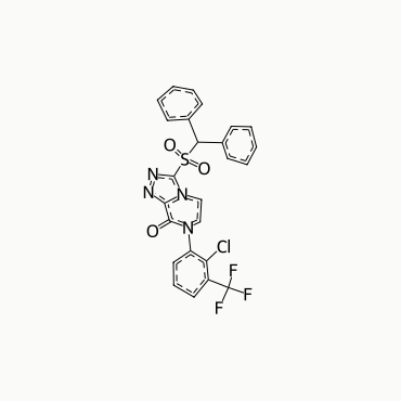 O=c1c2nnc(S(=O)(=O)C(c3ccccc3)c3ccccc3)n2ccn1-c1cccc(C(F)(F)F)c1Cl